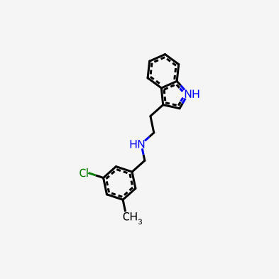 Cc1cc(Cl)cc(CNCCc2c[nH]c3ccccc23)c1